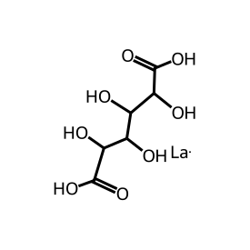 O=C(O)C(O)C(O)C(O)C(O)C(=O)O.[La]